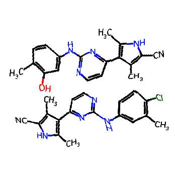 Cc1cc(Nc2nccc(-c3c(C)[nH]c(C#N)c3C)n2)ccc1Cl.Cc1ccc(Nc2nccc(-c3c(C)[nH]c(C#N)c3C)n2)cc1O